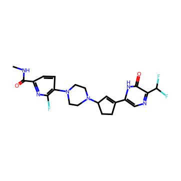 CNC(=O)c1ccc(N2CCN(C3C=C(c4cnc(C(F)F)c(=O)[nH]4)CC3)CC2)c(F)n1